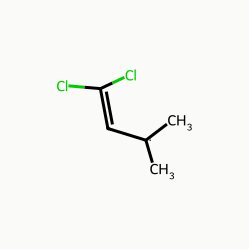 C[C](C)C=C(Cl)Cl